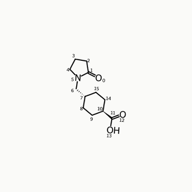 O=C1CCCN1C[C@H]1CC[C@H](C(=O)O)CC1